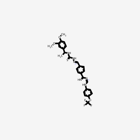 COc1ccc(C(C)NC(=S)N/N=C/c2ccc(C(=N)/N=C\Nc3ccc(OC(F)(F)F)cc3)cc2)cc1OC